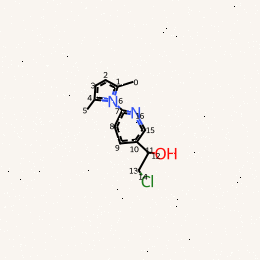 Cc1ccc(C)n1-c1ccc(C(O)CCl)cn1